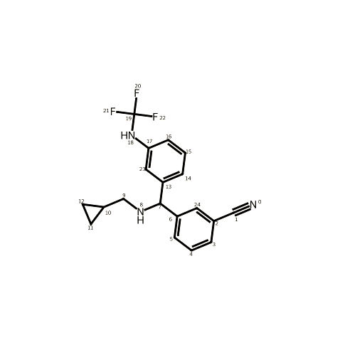 N#Cc1cccc(C(NCC2CC2)c2cccc(NC(F)(F)F)c2)c1